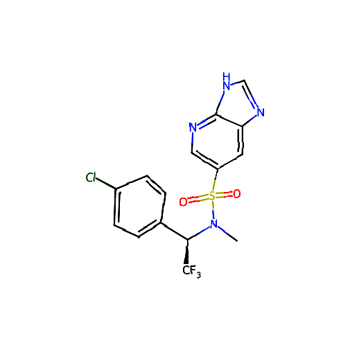 CN([C@H](c1ccc(Cl)cc1)C(F)(F)F)S(=O)(=O)c1cnc2[nH]cnc2c1